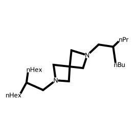 CCCCCCC(CCCCCC)CN1CC2(CN(CC(CCC)CCCC)C2)C1